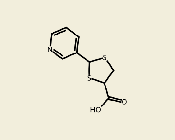 O=C(O)C1CSC(c2cccnc2)S1